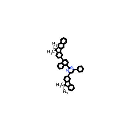 CC1(C)c2ccccc2-c2cc(-c3cc(-c4ccccc4)nc(-c4ccc(-c5ccc6c(c5)-c5cc7ccccc7cc5C6(C)C)c5ccccc45)n3)ccc21